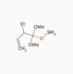 C=CC(CC)C(OC)(OC)O[SiH3]